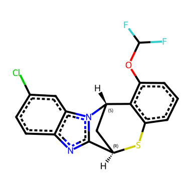 FC(F)Oc1cccc2c1[C@@H]1C[C@@H](S2)c2nc3ccc(Cl)cc3n21